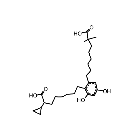 CC(C)(CCCCCCc1cc(O)cc(O)c1CCCCCCC(C(=O)O)C1CC1)C(=O)O